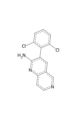 Nc1nc2ccncc2cc1-c1c(Cl)cccc1Cl